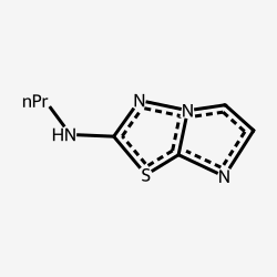 CCCNc1nn2ccnc2s1